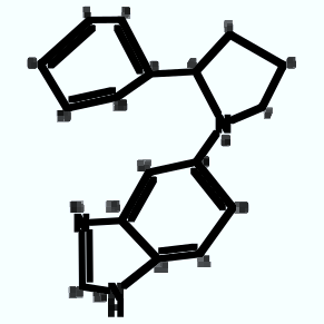 c1ccc(C2CCCN2c2ccc3[nH]cnc3c2)cc1